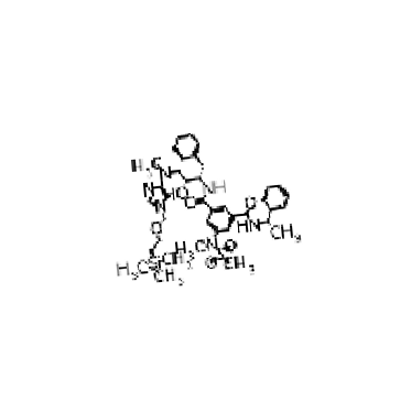 C[C@@H](NC(=O)c1cc(C(=O)N[C@@H](Cc2ccccc2)[C@H](O)CN(C)c2cn(COCC[Si](C)(C)C)cn2)cc(N(C)S(C)(=O)=O)c1)c1ccccc1